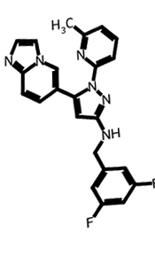 Cc1cccc(-n2nc(NCc3cc(F)cc(F)c3)cc2-c2ccc3nccn3c2)n1